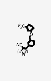 N#Cc1[nH]nnc1-c1cccc(COc2cccc(C(F)(F)F)c2)c1